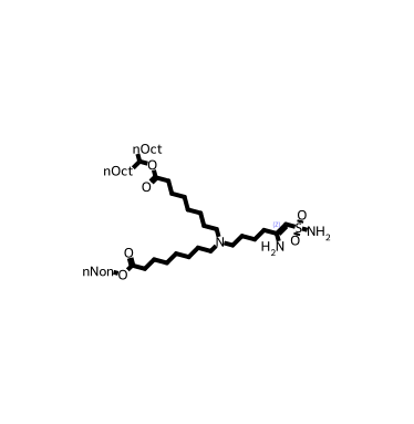 CCCCCCCCCOC(=O)CCCCCCCN(CCCCCCCC(=O)OC(CCCCCCCC)CCCCCCCC)CCCC/C(N)=C/S(N)(=O)=O